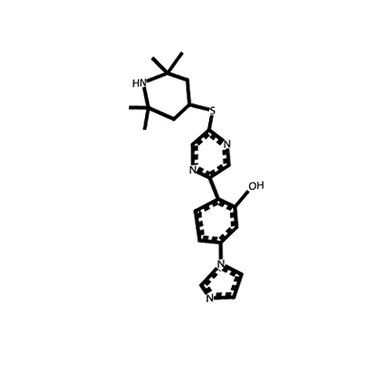 CC1(C)CC(Sc2cnc(-c3ccc(-n4ccnc4)cc3O)cn2)CC(C)(C)N1